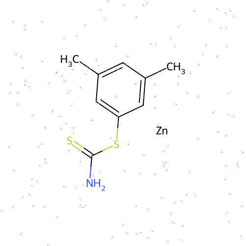 Cc1cc(C)cc(SC(N)=S)c1.[Zn]